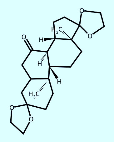 C[C@]12CCC3(CC1CC(=O)[C@@H]1[C@@H]2CC[C@@]2(C)[C@H]1CCC21OCCO1)OCCO3